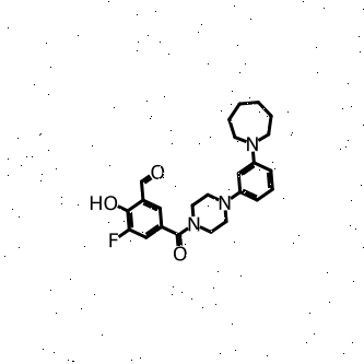 O=Cc1cc(C(=O)N2CCN(c3cccc(N4CCCCCC4)c3)CC2)cc(F)c1O